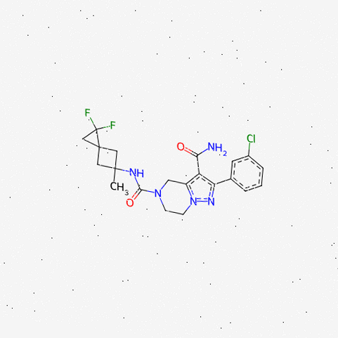 CC1(NC(=O)N2CCn3nc(-c4cccc(Cl)c4)c(C(N)=O)c3C2)CC2(C1)CC2(F)F